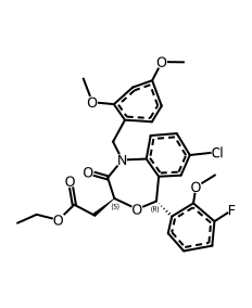 CCOC(=O)C[C@@H]1O[C@@H](c2cccc(F)c2OC)c2cc(Cl)ccc2N(Cc2ccc(OC)cc2OC)C1=O